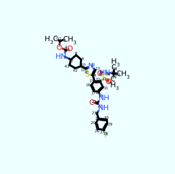 CC(C)OC(=O)NC1CCC(c2ncc(-c3ccc(NC(=O)NCc4ccc(F)cc4)cc3S(=O)(=O)NC(C)(C)C)s2)CC1